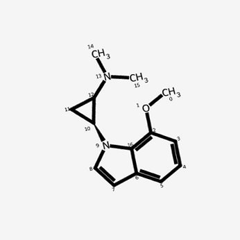 COc1cccc2ccn([C@H]3CC3N(C)C)c12